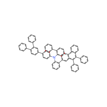 c1ccc(-c2ccc(-c3ccc(N(c4ccccc4-c4ccccc4)c4ccccc4-c4ccc5c(c4)c(-c4ccccc4)c(-c4ccccc4)c4ccccc45)cc3)cc2-c2ccccc2)cc1